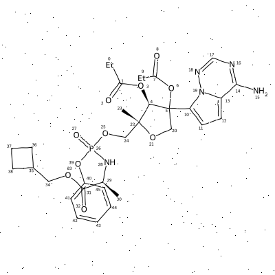 CCC(=O)O[C@H]1C(OC(=O)CC)(c2ccc3c(N)ncnn23)CO[C@]1(C)COP(=O)(N[C@@H](C)C(=O)OCC1CCC1)Oc1ccccc1